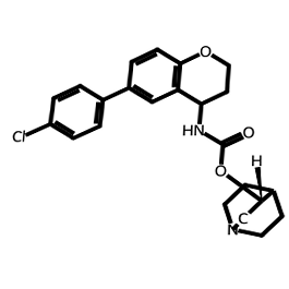 O=C(NC1CCOc2ccc(-c3ccc(Cl)cc3)cc21)O[C@H]1CN2CCC1CC2